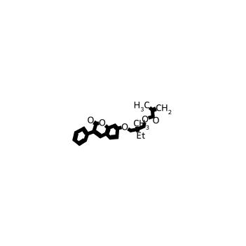 C=C(C)C(=O)OCC(C)(CC)COc1ccc2cc(-c3ccccc3)c(=O)oc2c1